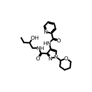 CCC(O)CNC(=O)c1nn(C2CCCCO2)cc1NC(=O)c1ccccn1